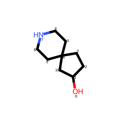 OC1CCC2(CCNCC2)C1